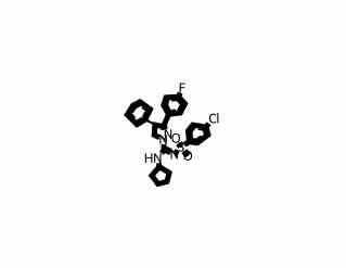 O=S(=O)(/N=C(/NC1CCCC1)N1C[C@@H](c2ccccc2)C(c2ccc(F)cc2)=N1)c1ccc(Cl)cc1